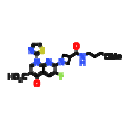 COCCCNC(=O)C1CN(c2nc3c(cc2F)c(=O)c(C(=O)O)cn3-c2nccs2)C1